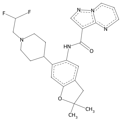 CC1(C)Cc2cc(NC(=O)c3cnn4cccnc34)c(C3CCN(CC(F)F)CC3)cc2O1